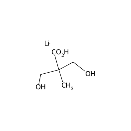 CC(CO)(CO)C(=O)O.[Li]